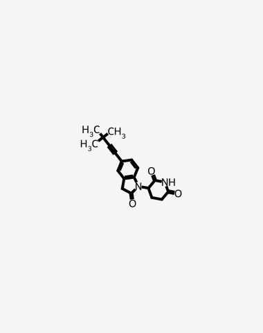 CC(C)(C)C#Cc1ccc2c(c1)CC(=O)N2C1CCC(=O)NC1=O